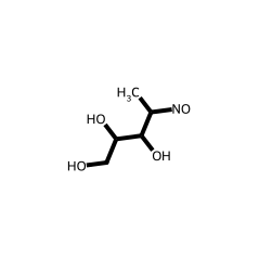 CC(N=O)C(O)C(O)CO